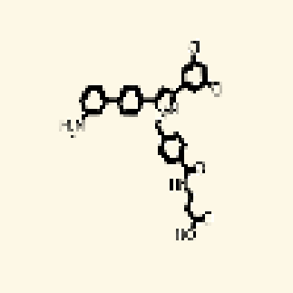 Nc1cccc(-c2ccc(-c3cc(-c4cc(Cl)cc(Cl)c4)nn3Cc3ccc(C(=O)NCCC(=O)O)cc3)cc2)c1